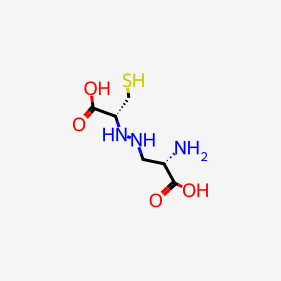 N[C@@H](CNN[C@@H](CS)C(=O)O)C(=O)O